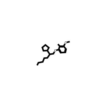 CCCCCC(COc1cccc(OC)c1C)C1CCCC1